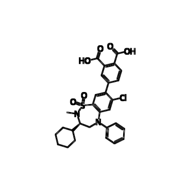 CN1[C@H](C2CCCCC2)CN(c2ccccc2)c2cc(Cl)c(-c3ccc(C(=O)O)c(C(=O)O)c3)cc2S1(=O)=O